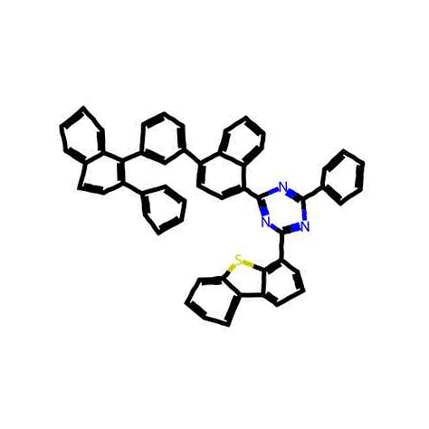 c1ccc(-c2nc(-c3ccc(-c4cccc(-c5c(-c6ccccc6)ccc6ccccc56)c4)c4ccccc34)nc(-c3cccc4c3sc3ccccc34)n2)cc1